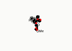 COc1cccc(CN2CC/C(=C\C3=C(C(=O)OC(c4ccccc4)c4ccccc4)N4C(=O)[C@@H](NC(=O)OC(C)(C)C)[C@H]4SC3)C2=O)c1